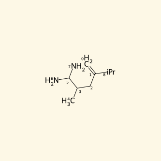 C=C(CC(C)C(N)N)C(C)C